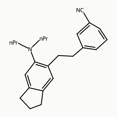 CCCN(CCC)c1cc2c(cc1CCc1cccc(C#N)c1)CCC2